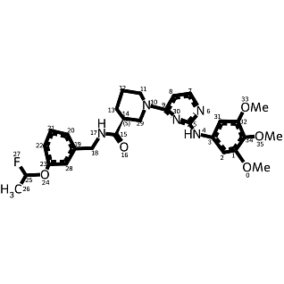 COc1cc(Nc2nccc(N3CCC[C@H](C(=O)NCc4cccc(OC(C)F)c4)C3)n2)cc(OC)c1OC